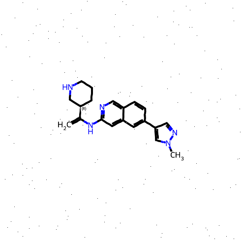 C=C(Nc1cc2cc(-c3cnn(C)c3)ccc2cn1)[C@@H]1CCCNC1